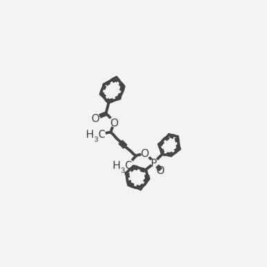 CC(C#CC(C)OP(=O)(c1ccccc1)c1ccccc1)OC(=O)c1ccccc1